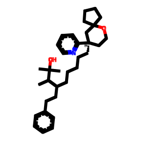 CC(C(CCCCC[C@@]1(c2ccccn2)CCOC2(CCCC2)C1)CCc1ccccc1)C(C)(C)O